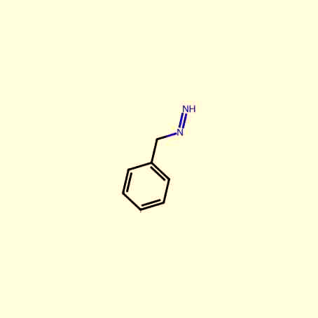 N=NCc1cc[c]cc1